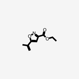 C=C(C)c1cc(C(=O)OCC)no1